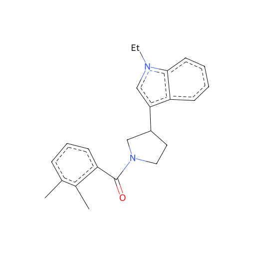 CCn1cc(C2CCN(C(=O)c3cccc(C)c3C)C2)c2ccccc21